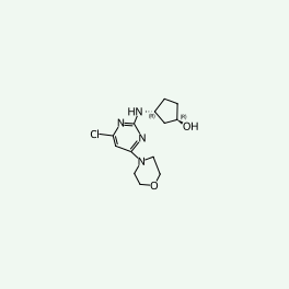 O[C@@H]1CC[C@@H](Nc2nc(Cl)cc(N3CCOCC3)n2)C1